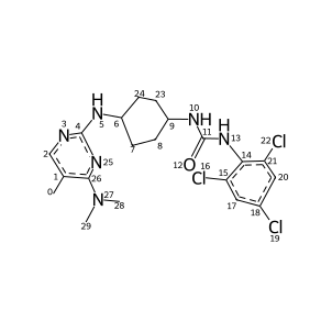 Cc1cnc(NC2CCC(NC(=O)Nc3c(Cl)cc(Cl)cc3Cl)CC2)nc1N(C)C